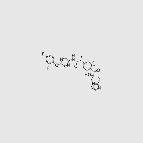 C[C@H](C(=O)Nc1cnc(Oc2ccc(F)cc2F)cn1)N1CCN(C(=O)[C@]2(O)CCc3ncnn3C2)C(C)(C)C1